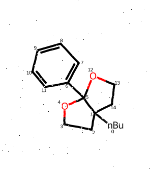 CCCCC12CCOC1(c1ccccc1)OCC2